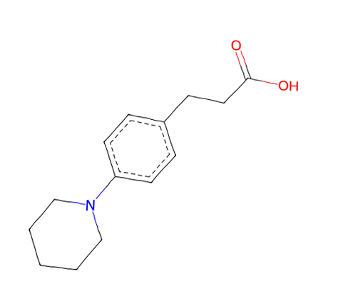 O=C(O)CCc1ccc(N2CCCCC2)cc1